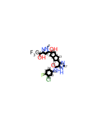 Cn1nc(C(O)C(F)(F)F)cc1C1(O)CC2CC(c3nc[nH]c3C(=O)Nc3ccc(F)c(Cl)c3)CC2C1